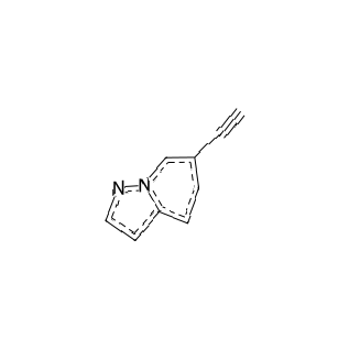 C#Cc1ccc2ccnn2c1